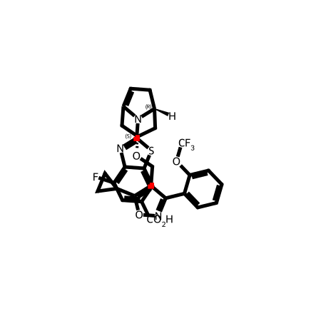 O=C(O)c1cc(F)c2nc(N3C4=CC[C@@H]3C[C@H](OCc3c(-c5ccccc5OC(F)(F)F)noc3C3CC3)C4)sc2c1